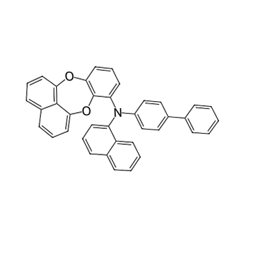 c1ccc(-c2ccc(N(c3cccc4c3Oc3cccc5cccc(c35)O4)c3cccc4ccccc34)cc2)cc1